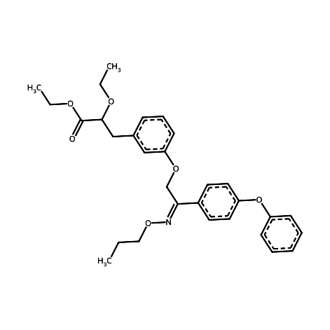 CCCO/N=C(\COc1cccc(CC(OCC)C(=O)OCC)c1)c1ccc(Oc2ccccc2)cc1